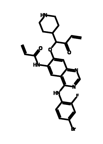 C=CC(=O)Nc1cc2c(Nc3ccc(Br)cc3F)ncnc2cc1OC(C(=O)C=C)C1CCNCC1